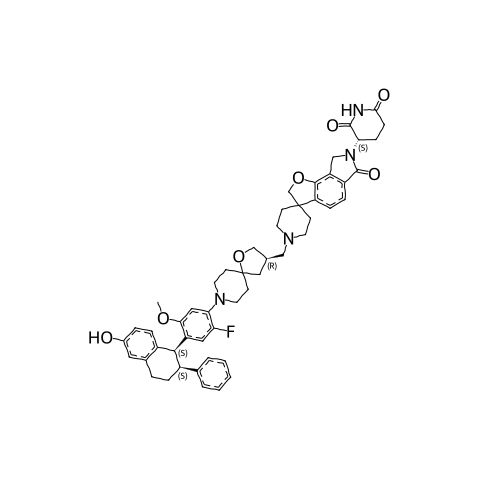 COc1cc(N2CCC3(CC2)C[C@H](CN2CCC4(CC2)COc2c4ccc4c2CN([C@H]2CCC(=O)NC2=O)C4=O)CO3)c(F)cc1[C@@H]1c2ccc(O)cc2CC[C@@H]1c1ccccc1